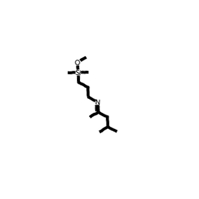 CO[Si](C)(C)CCC/N=C(\C)CC(C)C